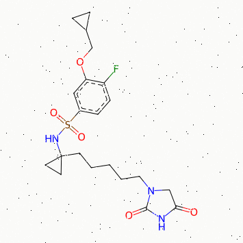 O=C1CN(CCCCCC2(NS(=O)(=O)c3ccc(F)c(OCC4CC4)c3)CC2)C(=O)N1